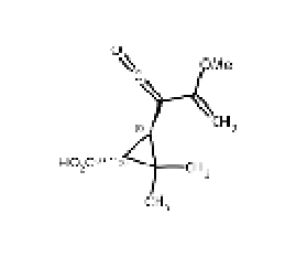 C=C(OC)C(=C=O)[C@@H]1[C@@H](C(=O)O)C1(C)C